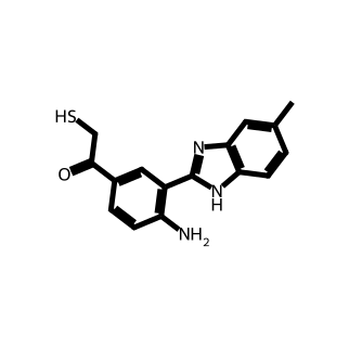 Cc1ccc2[nH]c(-c3cc(C(=O)CS)ccc3N)nc2c1